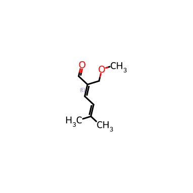 COC/C(C=O)=C\C=C(C)C